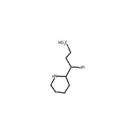 CCCC(CCC(=O)O)C1CCCCN1